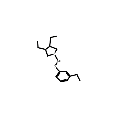 CCc1cccc(ONP2CC(CC)C(CC)C2)c1